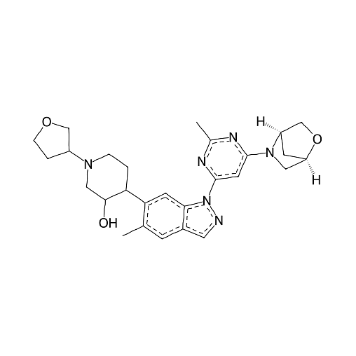 Cc1nc(N2C[C@H]3C[C@@H]2CO3)cc(-n2ncc3cc(C)c(C4CCN(C5CCOC5)CC4O)cc32)n1